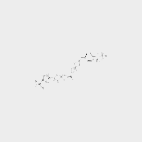 N=S(=O)(c1ccc(CC2CC3(C2)CN(C(=O)N2CC4(CC(c5nc(C6(N)CC6)n[nH]5)C4)C2)C3)cc1)C(F)(F)F